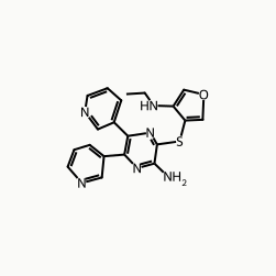 CCNc1cocc1Sc1nc(-c2cccnc2)c(-c2cccnc2)nc1N